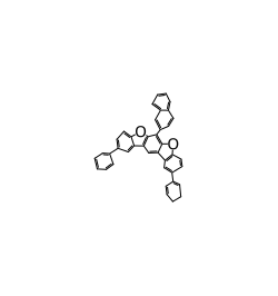 C1=CC(c2ccc3oc4c(-c5ccc6ccccc6c5)c5oc6ccc(-c7ccccc7)cc6c5cc4c3c2)=CCC1